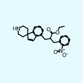 CCOC(=O)C(Cc1ccccc1[N+](=O)[O-])Cc1cccc2c1C=CC21CCNCC1